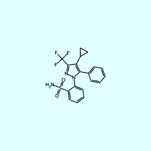 NS(=O)(=O)c1ccccc1-n1nc(C(F)(F)F)c(C2CC2)c1-c1ccccc1